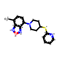 O=[N+]([O-])c1ccc(N2CCC(Sc3ccccn3)CC2)c2nonc12